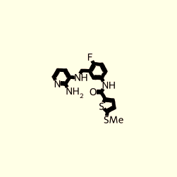 CSc1ccc(C(=O)Nc2ccc(F)c(CNc3cccnc3N)c2)s1